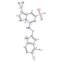 CS(=O)(=O)c1nc(NCc2nc3c(F)c(Cl)ccc3[nH]2)n2ncc(C3CC3)c2n1